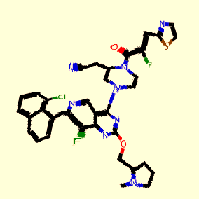 CN1CCCC1COc1nc(N2CCN(C(=O)/C(F)=C/c3nccs3)C(CC#N)C2)c2cnc(-c3cccc4cccc(Cl)c34)c(F)c2n1